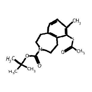 CC(=O)Sc1c(C)ccc2c1CCN(C(=O)OC(C)(C)C)CC2